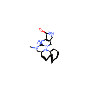 CN(Cc1ccc2ccccc2n1)c1ncc2c(n1)C(=O)NC2